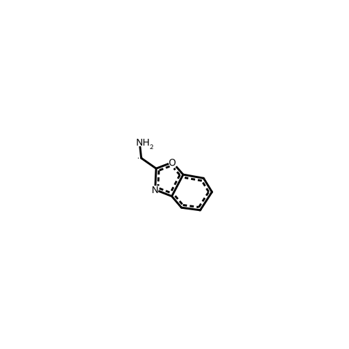 N[CH]c1nc2ccccc2o1